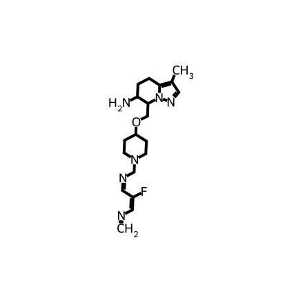 C=N/C=C(F)\C=N/CN1CCC(OCC2C(N)CCc3c(C)cnn32)CC1